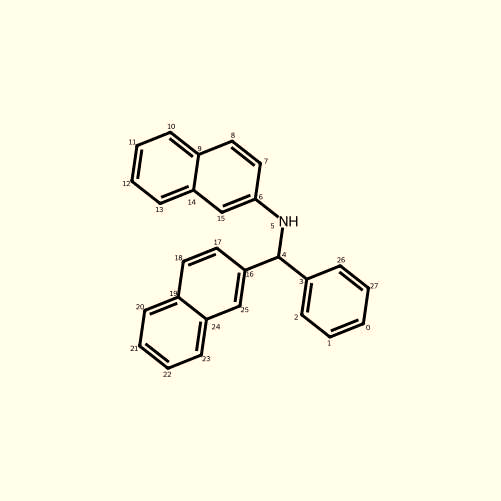 c1ccc(C(Nc2ccc3ccccc3c2)c2ccc3ccccc3c2)cc1